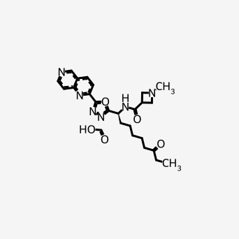 CCC(=O)CCCCC[C@H](NC(=O)C1CN(C)C1)c1nnc(-c2ccc3cnccc3n2)o1.O=CO